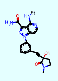 CCNc1nccc2c1c(C(N)=O)nn2-c1cccc(C#C[C@]2(O)CCN(C)C2=O)c1